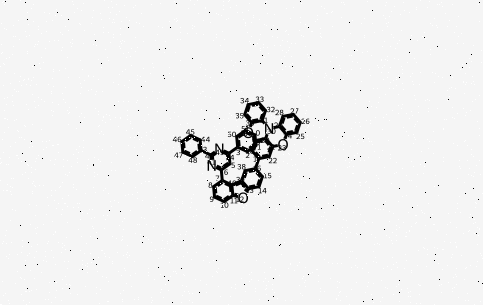 c1ccc(-c2cc(-c3cccc4oc5ccc(-c6cc7c8c(c6)Oc6ccccc6N8c6ccccc6O7)cc5c34)nc(-c3ccccc3)n2)cc1